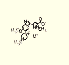 COc1cc2ncc(-c3cc(C(=O)[O-])n(C)n3)n2cc1C1(F)CCN(C)CC1.[Li+]